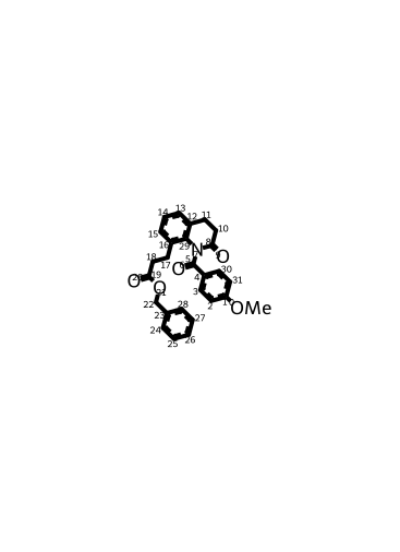 COc1ccc(C(=O)N2C(=O)CCc3cccc(CCC(=O)OCc4ccccc4)c32)cc1